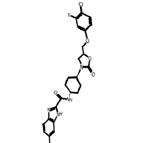 O=C(N[C@H]1CC[C@H](N2CC(COc3ccc(Cl)c(F)c3)OC2=O)CC1)c1nc2ccc(Cl)cc2[nH]1